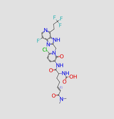 CN(C)C(=O)/C=C/CCC(NC(=O)O)C(=O)Nc1ccc(Cl)n(Cc2nc3c(F)cnc(CCC(F)(F)F)c3[nH]2)c1=O